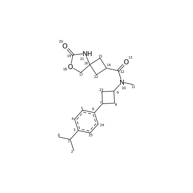 CC(C)c1ccc(C2CC(N(C)C(=O)C3CC4(COC(=O)N4)C3)C2)cc1